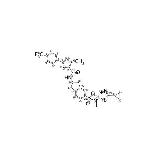 Cc1nc(-c2ccc(C(F)(F)F)cc2)sc1C(=O)NC1Cc2ccc(S(=O)(=O)Nc3nnc(C4CC4)s3)cc2C1